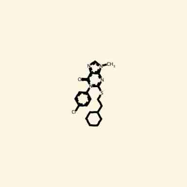 Cn1cnc2c(=O)n(-c3ccc(Cl)cc3)c(SCCC3CCCCC3)nc21